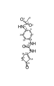 CS(=O)(=O)Nc1ccc(NC(=O)NC2=CC(=O)SC2)cc1